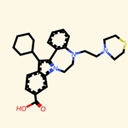 O=C(O)c1ccc2c(C3CCCCC3)c3n(c2c1)CCN(CCN1CCSCC1)c1ccccc1-3